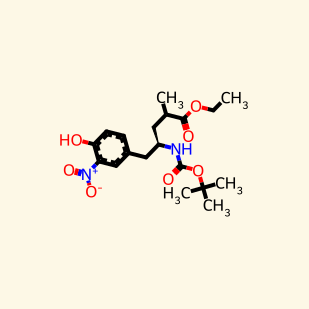 CCOC(=O)C(C)C[C@H](Cc1ccc(O)c([N+](=O)[O-])c1)NC(=O)OC(C)(C)C